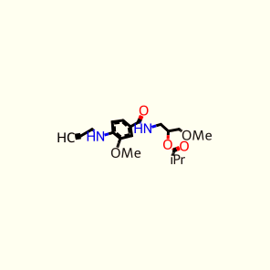 C#CCNc1ccc(C(=O)NCC(COC)OC(=O)C(C)C)cc1OC